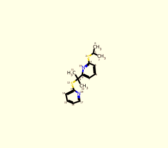 CC(C)Sc1cccc(C(C)(C)Sc2ccccn2)n1